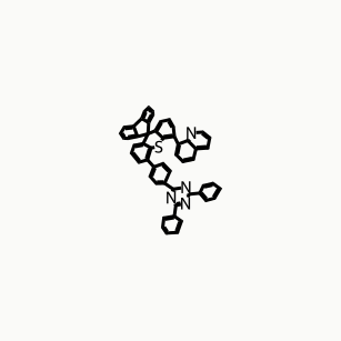 c1ccc(-c2nc(-c3ccccc3)nc(-c3ccc(-c4cccc5c4Sc4c(-c6cccc7cccnc67)cccc4C54c5ccccc5-c5ccccc54)cc3)n2)cc1